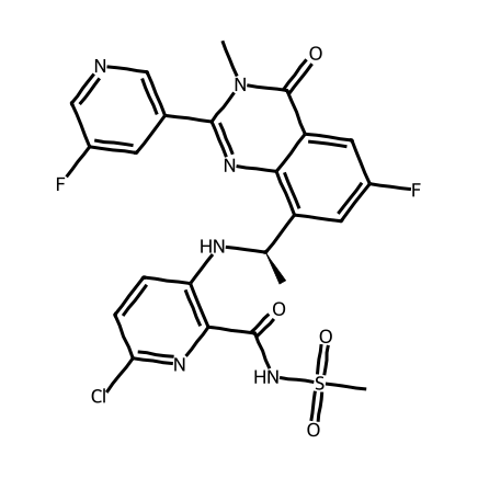 C[C@@H](Nc1ccc(Cl)nc1C(=O)NS(C)(=O)=O)c1cc(F)cc2c(=O)n(C)c(-c3cncc(F)c3)nc12